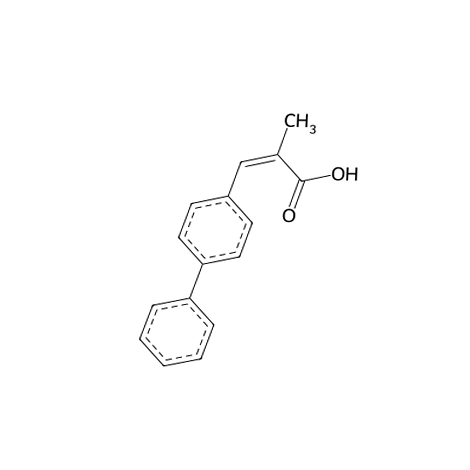 CC(=Cc1ccc(-c2ccccc2)cc1)C(=O)O